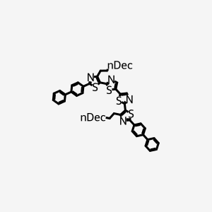 CCCCCCCCCCCCc1nc(-c2ccc(-c3ccccc3)cc2)sc1-c1ncc(-c2cnc(-c3sc(-c4ccc(-c5ccccc5)cc4)nc3CCCCCCCCCCCC)s2)s1